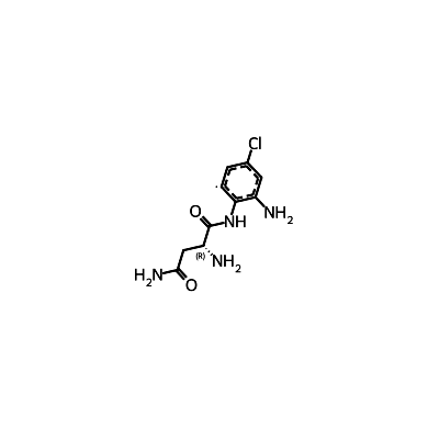 NC(=O)C[C@@H](N)C(=O)Nc1[c]cc(Cl)cc1N